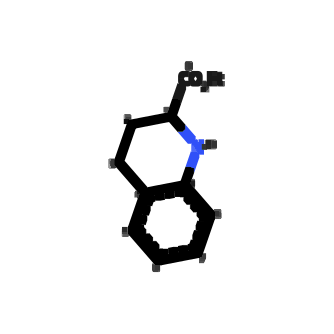 CCOC(=O)C1CCc2ccccc2[N]1